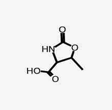 CC1OC(=O)NC1C(=O)O